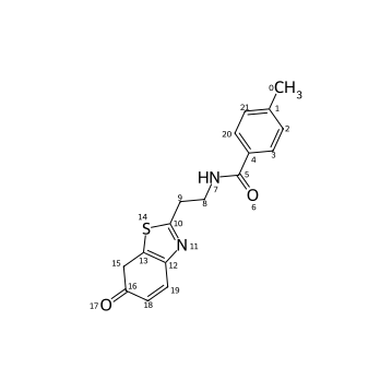 Cc1ccc(C(=O)NCCc2nc3c(s2)CC(=O)C=C3)cc1